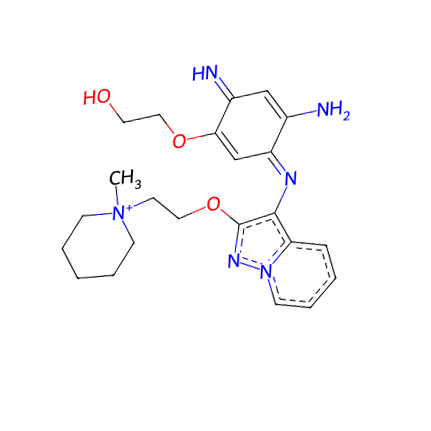 C[N+]1(CCOc2nn3ccccc3c2/N=C2\C=C(OCCO)C(=N)C=C2N)CCCCC1